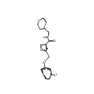 O=C(NCC1CCOCC1)c1cc(COc2cccc(Cl)c2)on1